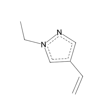 C=Cc1cnn(CC)c1